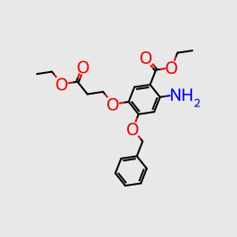 CCOC(=O)CCOc1cc(C(=O)OCC)c(N)cc1OCc1ccccc1